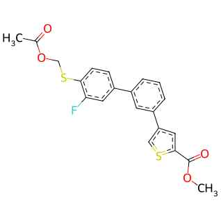 COC(=O)c1cc(-c2cccc(-c3ccc(SCOC(C)=O)c(F)c3)c2)cs1